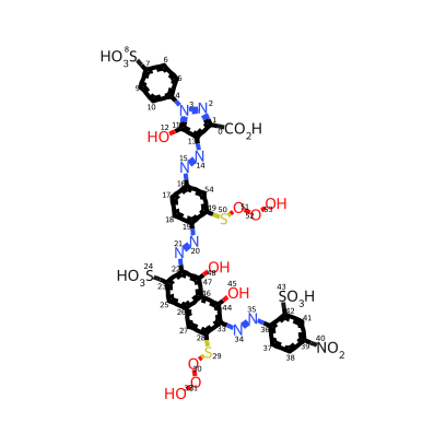 O=C(O)c1nn(-c2ccc(S(=O)(=O)O)cc2)c(O)c1N=Nc1ccc(N=Nc2c(S(=O)(=O)O)cc3cc(SOOO)c(N=Nc4ccc([N+](=O)[O-])cc4S(=O)(=O)O)c(O)c3c2O)c(SOOO)c1